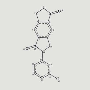 O=C1CCc2cc3c(cc21)CC(c1cccc(Cl)c1)C3=O